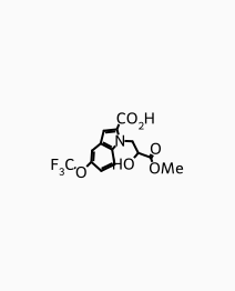 COC(=O)C(O)Cn1c(C(=O)O)cc2cc(OC(F)(F)F)ccc21